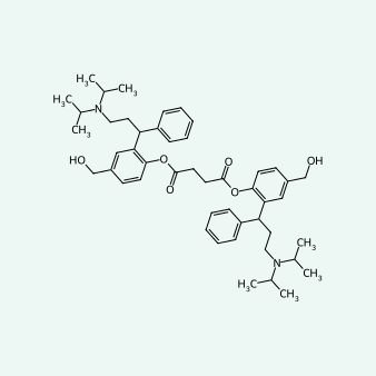 CC(C)N(CCC(c1ccccc1)c1cc(CO)ccc1OC(=O)CCC(=O)Oc1ccc(CO)cc1C(CCN(C(C)C)C(C)C)c1ccccc1)C(C)C